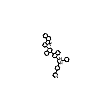 CC1(C)c2ccc3ccccc3c2-c2cccc(-c3ccc(-c4ccc(-c5cc(-c6ccc(-c7cccnc7)cc6)nc(-c6ccccc6)n5)c5ccccc45)c4ccccc34)c21